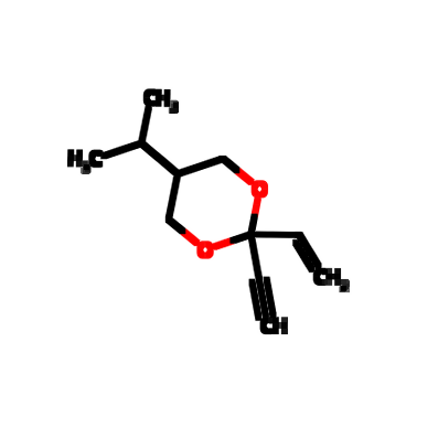 C#CC1(C=C)OCC(C(C)C)CO1